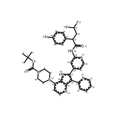 CC(C)(C)OC(=O)N1CCN(c2ccnc3c(-c4ccccn4)c(-c4ccnc(NC(=O)C(CC(F)F)c5ccc(F)cc5)c4)[nH]c23)CC1